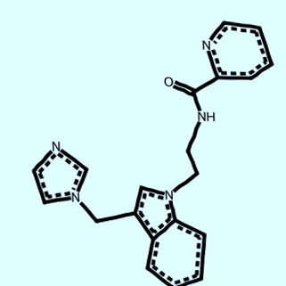 O=C(NCCn1cc(Cn2ccnc2)c2ccccc21)c1ccccn1